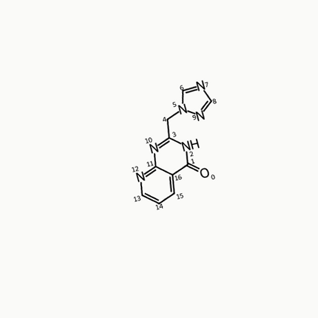 O=c1[nH]c(Cn2cncn2)nc2ncccc12